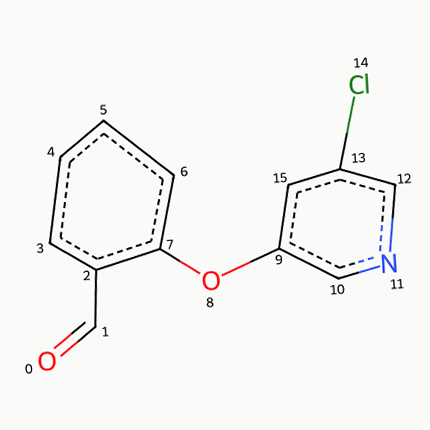 O=Cc1ccccc1Oc1cncc(Cl)c1